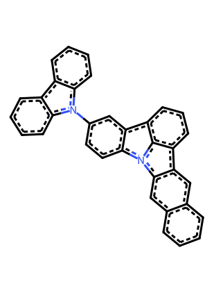 c1ccc2cc3c(cc2c1)c1cccc2c4cc(-n5c6ccccc6c6ccccc65)ccc4n3c21